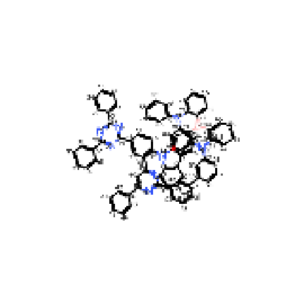 CC(C)(C)c1ccc2c(c1)c1cc(C(C)(C)C)ccc1n2-c1ccc(-c2nc(-c3ccccc3)nc(-c3ccccc3)n2)cc1-c1cc(-c2ccccc2)nc(-c2cccc(-c3cccc(N4c5ccccc5B5c6ccccc6N(c6ccccc6)c6cccc4c65)c3)c2)n1